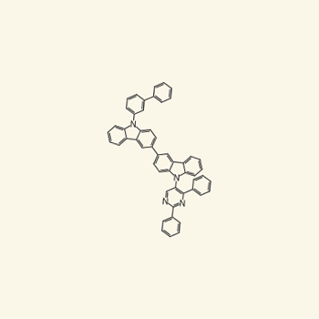 c1ccc(-c2cccc(-n3c4ccccc4c4cc(-c5ccc6c(c5)c5ccccc5n6-c5cnc(-c6ccccc6)nc5-c5ccccc5)ccc43)c2)cc1